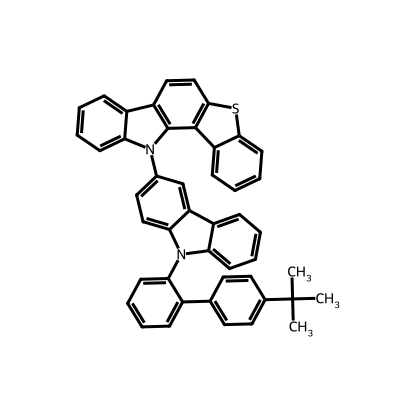 CC(C)(C)c1ccc(-c2ccccc2-n2c3ccccc3c3cc(-n4c5ccccc5c5ccc6sc7ccccc7c6c54)ccc32)cc1